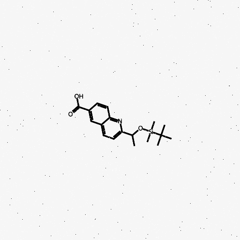 CC(O[Si](C)(C)C(C)(C)C)c1ccc2cc(C(=O)O)ccc2n1